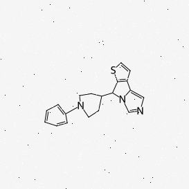 c1ccc(N2CCC(C3c4sccc4-c4cncn43)CC2)cc1